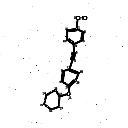 O=[C]c1ccc(C#Cc2ccc(OC3CCCCC3)cc2)cc1